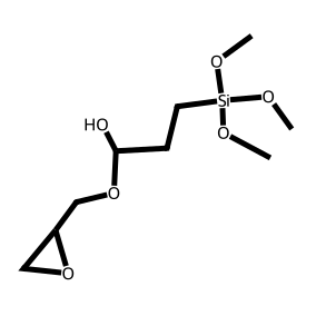 CO[Si](CCC(O)OCC1CO1)(OC)OC